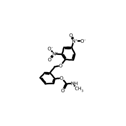 CNC(=O)Oc1ccccc1COc1ccc([N+](=O)[O-])cc1[N+](=O)[O-]